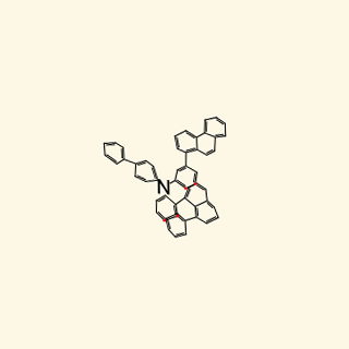 c1ccc(-c2ccc(N(c3cccc(-c4cccc5c4ccc4ccccc45)c3)c3ccccc3-c3cccc4cccc(-c5ccccc5)c34)cc2)cc1